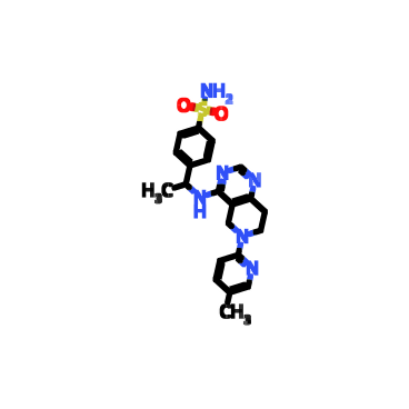 Cc1ccc(N2CCc3ncnc(NC(C)c4ccc(S(N)(=O)=O)cc4)c3C2)nc1